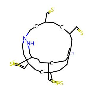 S=CC1C/C=C2/CCC(C=S)CCC(C=S)CCN(CCC(C=S)CC1)NCC(C=S)CCC(C=S)CC2